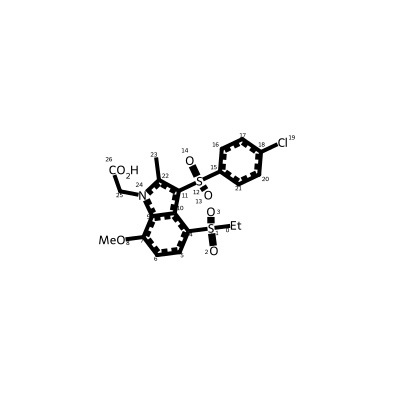 CCS(=O)(=O)c1ccc(OC)c2c1c(S(=O)(=O)c1ccc(Cl)cc1)c(C)n2CC(=O)O